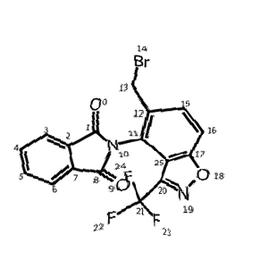 O=C1c2ccccc2C(=O)N1c1c(CBr)ccc2onc(C(F)(F)F)c12